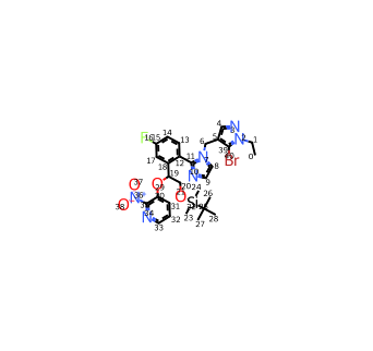 CCn1ncc(Cn2ccnc2-c2ccc(F)cc2C(CO[Si](C)(C)C(C)(C)C)Oc2cccnc2[N+](=O)[O-])c1Br